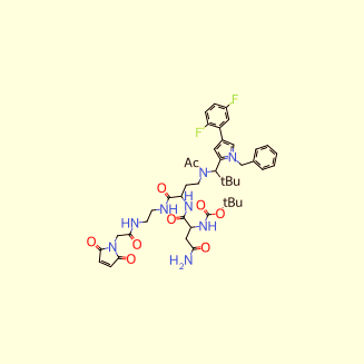 CC(=O)N(CCC(NC(=O)C(CC(N)=O)NC(=O)OC(C)(C)C)C(=O)NCCNC(=O)CN1C(=O)C=CC1=O)C(c1cc(-c2cc(F)ccc2F)cn1Cc1ccccc1)C(C)(C)C